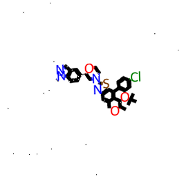 CC(=O)[C@@H](OC(C)(C)C)c1c(C)cc2nc(N3CCO[C@@H](c4ccc5c(cnn5C)c4)C3)sc2c1-c1ccc(Cl)cc1